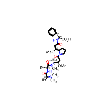 CC[C@H](C)[C@@H]([C@@H](CC(=O)N1CCCC1[C@@H](CC(=O)N[C@@H](Cc1ccccc1)C(=O)O)OC)OC)N(C)C(=O)[C@@H](NC(=O)[C@H](C(C)C)N(C)C)C(C)C